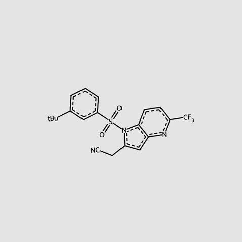 CC(C)(C)c1cccc(S(=O)(=O)n2c(CC#N)cc3nc(C(F)(F)F)ccc32)c1